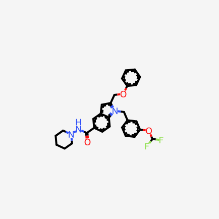 O=C(NN1CCCCC1)c1ccc2c(c1)cc(COc1ccccc1)n2Cc1cccc(OC(F)F)c1